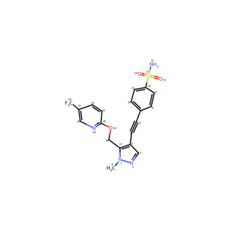 Cn1ncc(C#Cc2ccc(S(N)(=O)=O)cc2)c1COc1ccc(C(F)(F)F)cn1